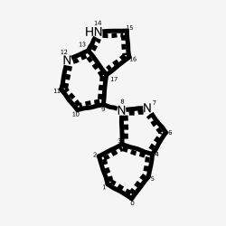 c1ccc2c(c1)cnn2-c1ccnc2[nH]ccc12